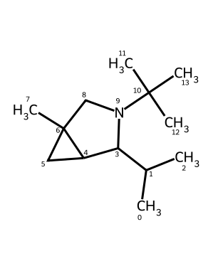 CC(C)C1C2CC2(C)CN1C(C)(C)C